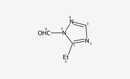 CCc1ncnn1C=O